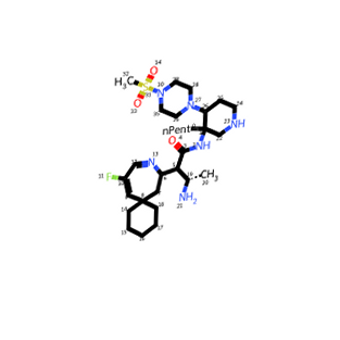 CCCCCC1(NC(=O)C(C2CC3(C=C(F)C=N2)CCCCC3)[C@H](C)N)CNCCC1N1CCN(S(C)(=O)=O)CC1